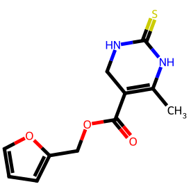 CC1=C(C(=O)OCc2ccco2)CNC(=S)N1